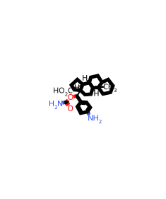 C[C@]12CCCCC1CC[C@H]1[C@@H]3CCC(C(=O)O)[C@@]3(C(OC(N)=O)c3ccc(N)cc3)CC[C@@H]12